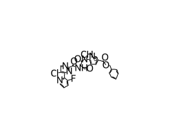 CN1C(=O)C(NC(=O)c2ncc(Cl)c(-c3ncccc3F)n2)COc2cc(C(=O)OCc3ccccc3)cnc21